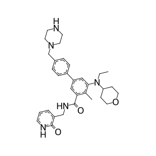 CCN(c1cc(-c2ccc(CN3CCNCC3)cc2)cc(C(=O)NCc2ccc[nH]c2=O)c1C)C1CCOCC1